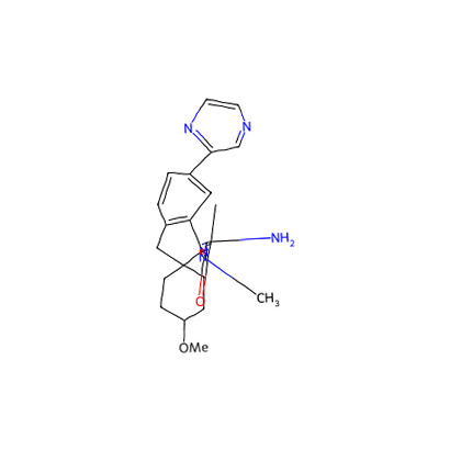 COC1CCC2(CC1)Cc1ccc(-c3cnccn3)cc1C21N=C(N)N(C)C1=O